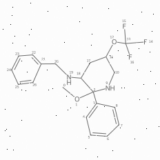 COC1(c2ccccc2)NCC(OC(F)(F)F)CC1NCc1ccccc1